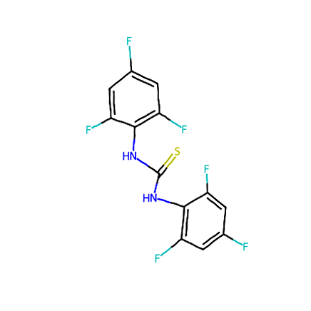 Fc1cc(F)c(NC(=S)Nc2c(F)cc(F)cc2F)c(F)c1